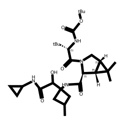 CC1CC(NC(=O)[C@@H]2[C@@H]3[C@H](CN2C(=O)[C@@H](NC(=O)OC(C)(C)C)C(C)(C)C)C3(C)C)(C(O)C(=O)NC2CC2)C1